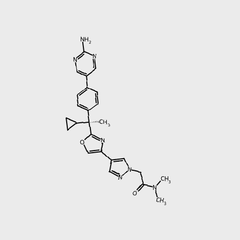 CN(C)C(=O)Cn1cc(-c2coc([C@](C)(c3ccc(-c4cnc(N)nc4)cc3)C3CC3)n2)cn1